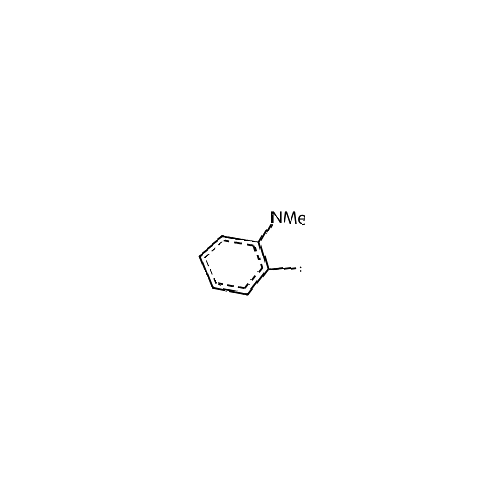 [CH]c1ccccc1NC